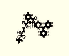 CC(C)(C)OC(=O)NCCNC(=O)Nc1ccccc1C(=O)NC1CCN(C(c2ccccc2)c2ccccc2)CC1